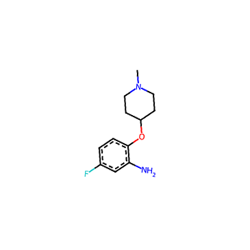 CN1CCC(Oc2ccc(F)cc2N)CC1